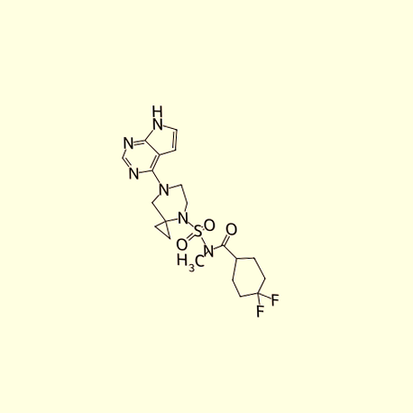 CN(C(=O)C1CCC(F)(F)CC1)S(=O)(=O)N1CCN(c2ncnc3[nH]ccc23)CC12CC2